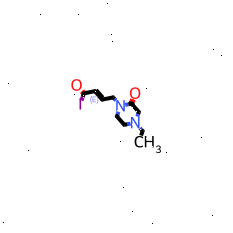 CCN1CCN(C/C=C/C(=O)I)C(=O)C1